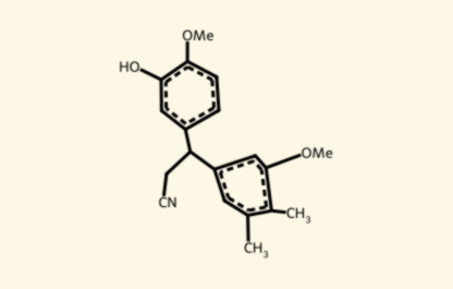 COc1ccc(C(CC#N)c2cc(C)c(C)c(OC)c2)cc1O